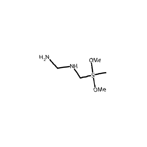 CO[Si](C)(CNCN)OC